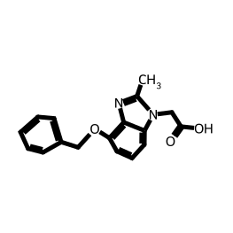 Cc1nc2c(OCc3ccccc3)cccc2n1CC(=O)O